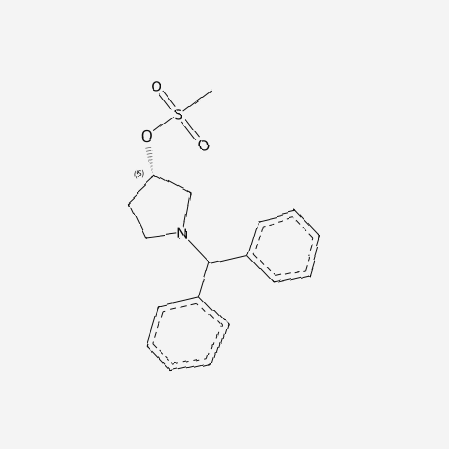 CS(=O)(=O)O[C@H]1CCN(C(c2ccccc2)c2ccccc2)C1